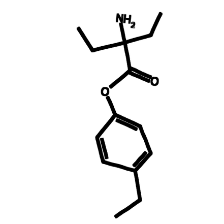 CCc1ccc(OC(=O)C(N)(CC)CC)cc1